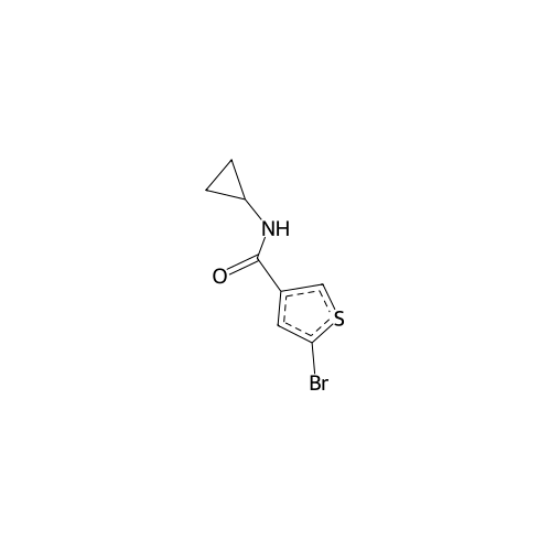 O=C(NC1CC1)c1csc(Br)c1